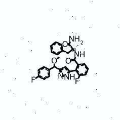 COC(c1ccc(F)cc1)c1cc(-c2c(F)cccc2C(=O)N[C@@](C)(Cc2ccccc2)C(N)=O)[nH]n1